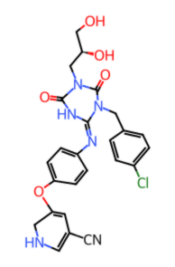 N#CC1=CNCC(Oc2ccc(/N=c3\[nH]c(=O)n(C[C@H](O)CO)c(=O)n3Cc3ccc(Cl)cc3)cc2)=C1